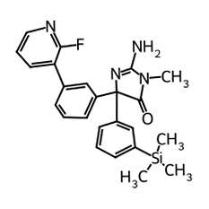 CN1C(=O)C(c2cccc(-c3cccnc3F)c2)(c2cccc([Si](C)(C)C)c2)N=C1N